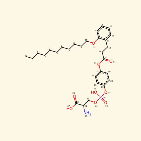 CCCCCCCCCCCOc1ccccc1CCC(=O)Oc1ccc(OP(=O)(O)OC[C@H](N)C(=O)O)cc1